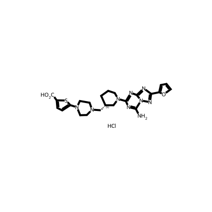 Cl.Nc1nc(N2CCC[C@@H](CN3CCN(c4ccc(C(=O)O)s4)CC3)C2)nc2nc(-c3ccco3)nn12